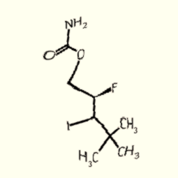 CC(C)(C)C(I)[C@H](F)COC(N)=O